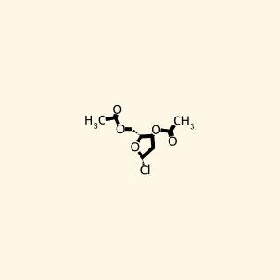 CC(=O)OC[C@H]1O[C@@H](Cl)CC1OC(C)=O